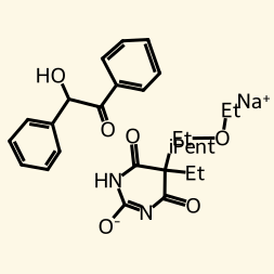 CCCC(C)C1(CC)C(=O)N=C([O-])NC1=O.CCOCC.O=C(c1ccccc1)C(O)c1ccccc1.[Na+]